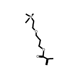 C=C(C)C(=O)OCCCO[CH]C[N+](C)(C)C